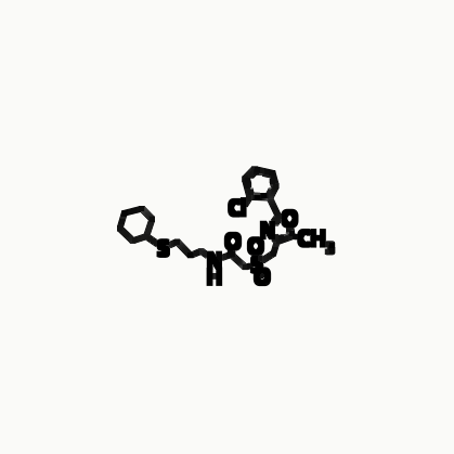 Cc1oc(-c2ccccc2Cl)nc1CS(=O)(=O)CC(=O)NCCCSC1CCCCC1